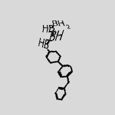 BBBBC1CCC(c2ccc(Cc3ccccc3)cc2)CC1